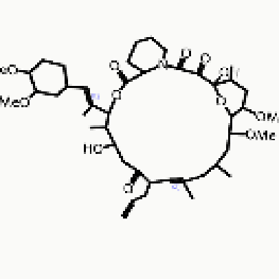 C=CCC1/C=C(/C)CC(C)CC(OC)C2OC(O)(C(=O)C(=O)N3CCCCC3C(=O)OC(/C(C)=C/C3CCC(OC)C(OC)C3)C(C)C(O)CC1=O)C(C)CC2OC